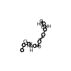 O=C1CCC(Nc2ccc(C3CCN(CCN4CCC(C(=O)N5CCC(Nc6ncc(Cl)c(-c7cccc(-c8ccccc8)c7)n6)CC5)CC4)CC3)cc2)C(=O)N1